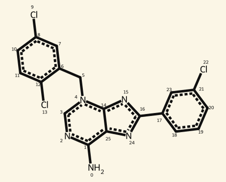 Nc1ncn(Cc2cc(Cl)ccc2Cl)c2nc(-c3cccc(Cl)c3)nc1-2